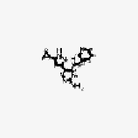 Nc1nnc(-c2cc(C3CC3)[nH]n2)c(NCc2cccnc2)n1